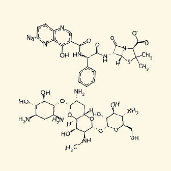 CC1(C)S[C@@H]2[C@H](NC(=O)[C@H](NC(=O)c3cnc4cccnc4c3O)c3ccccc3)C(=O)N2[C@H]1C(=O)[O-].CN[C@@H]1[C@@H](O[C@H]2O[C@H](CO)[C@@H](N)[C@H](O)[C@H]2O)O[C@H]2C[C@@H](N)[C@@H](O[C@H]3[C@H](O)[C@@H](O)[C@H](N)C[C@@H]3N)O[C@@H]2[C@@H]1O.[Na+]